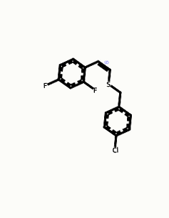 Fc1ccc(/C=C\SCc2ccc(Cl)cc2)c(F)c1